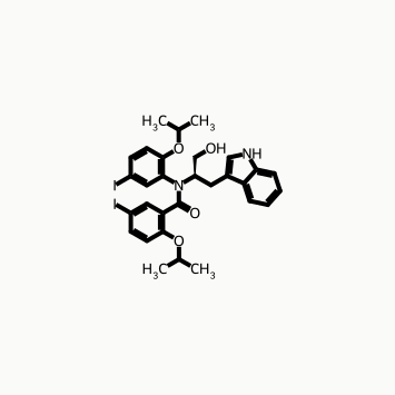 CC(C)Oc1ccc(I)cc1C(=O)N(c1cc(I)ccc1OC(C)C)[C@@H](CO)Cc1c[nH]c2ccccc12